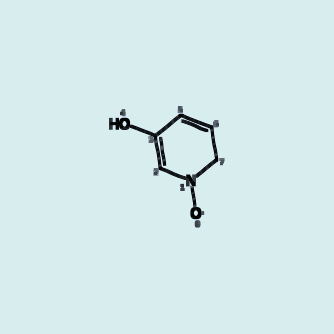 [O]N1C=C(O)C=CC1